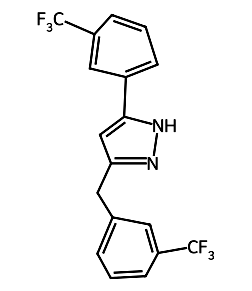 FC(F)(F)c1cccc(Cc2cc(-c3cccc(C(F)(F)F)c3)[nH]n2)c1